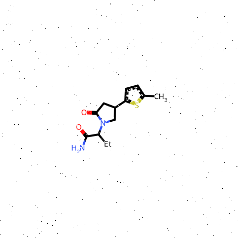 CCC(C(N)=O)N1CC(c2ccc(C)s2)CC1=O